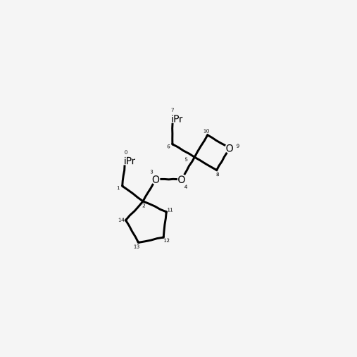 CC(C)CC1(OOC2(CC(C)C)COC2)CCCC1